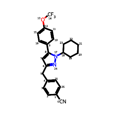 N#Cc1ccc(Cc2cc(-c3ccc(OC(F)(F)F)cc3)n(C3CCCCC3)n2)cc1